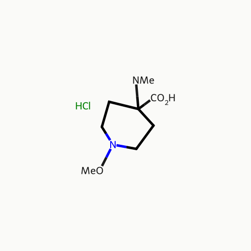 CNC1(C(=O)O)CCN(OC)CC1.Cl